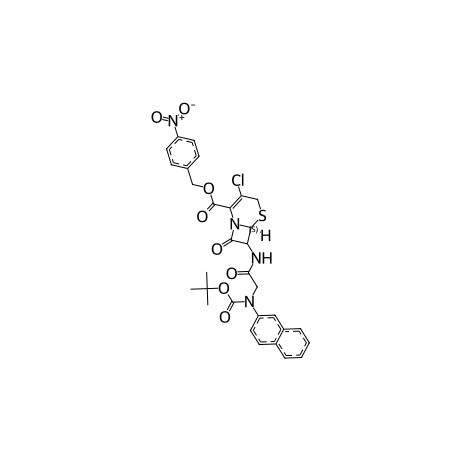 CC(C)(C)OC(=O)N(CC(=O)NC1C(=O)N2C(C(=O)OCc3ccc([N+](=O)[O-])cc3)=C(Cl)CS[C@@H]12)c1ccc2ccccc2c1